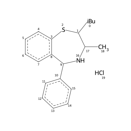 CCC(C)C1Sc2ccccc2C(c2ccccc2)NC1C.Cl